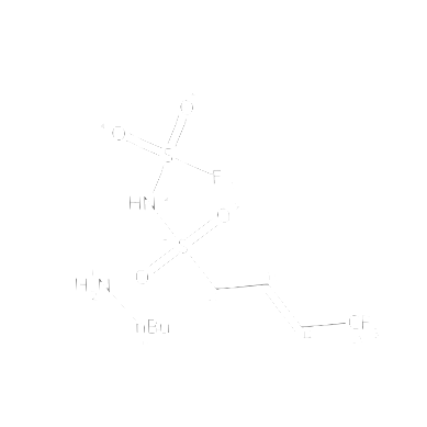 CCCCN.O=S(=O)(F)NS(=O)(=O)CC=CC(F)(F)F